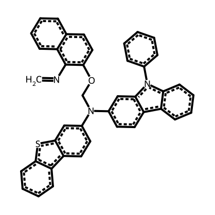 C=Nc1c(OCN(c2ccc3c(c2)sc2ccccc23)c2ccc3c4ccccc4n(-c4ccccc4)c3c2)ccc2ccccc12